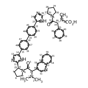 CN(C)C(C(=O)N1CCC[C@H]1c1ncc(-c2ccc(-c3ccc(-c4cnc([C@@H]5CCCN5C(=O)[C@@H](c5ccccc5)N(C)C(=O)O)[nH]4)cc3)cc2)[nH]1)c1cnc2ccccc2c1